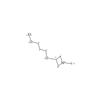 CCOCCCOC1CN(I)C1